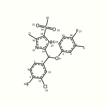 Cc1cc(OC(c2ccc(F)c(Cl)c2)c2nc(C)c(S(C)(=O)=O)[nH]2)ccc1F